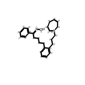 ON=C(CCCCc1ccccc1CCCN1CCCCCC1)c1ccccc1